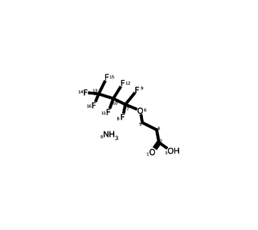 N.O=C(O)CCOC(F)(F)C(F)(F)C(F)(F)F